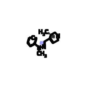 C[C@@H]1CN=CC=C1/C=N/N(C)c1ccccc1